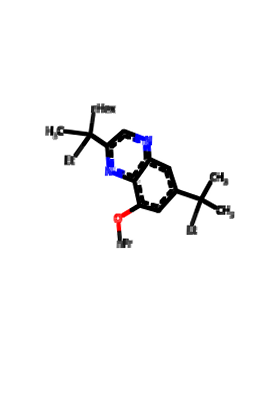 CCCCCCC(C)(CC)c1cnc2cc(C(C)(C)CC)cc(OCCC)c2n1